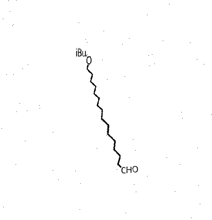 CCC(C)OCCCCCCCCCCCCCCCC=O